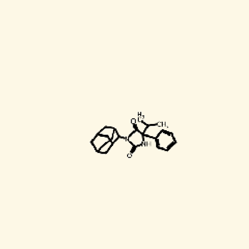 CC(C)C1(c2ccccc2)NC(=O)N(C2C3CC4CC(C3)CC2C4)C1=O